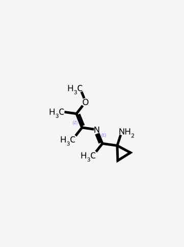 CO/C(C)=C(C)\N=C(/C)C1(N)CC1